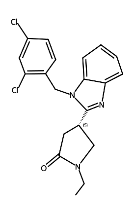 CCN1C[C@@H](c2nc3ccccc3n2Cc2ccc(Cl)cc2Cl)CC1=O